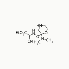 CCOC(=O)C(C#N)NOC1(N(C)C)CNCCO1